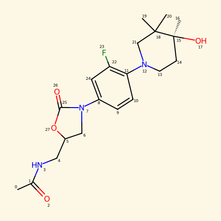 CC(=O)NCC1CN(c2ccc(N3CC[C@](C)(O)C(C)(C)C3)c(F)c2)C(=O)O1